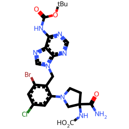 CC(C)(C)OC(=O)Nc1ncnc2c1ncn2Cc1c(Br)cc(Cl)cc1N1CCC(NC(=O)O)(C(N)=O)C1